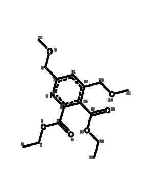 CCOC(=O)c1nc(COC)cc(COC)c1C(=O)OCC